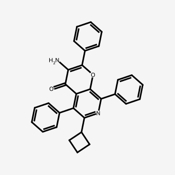 Nc1c(-c2ccccc2)oc2c(-c3ccccc3)nc(C3CCC3)c(-c3ccccc3)c2c1=O